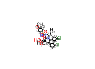 CCC(CNS(=O)(=O)c1ccc(OC)cc1)N1C(=O)[C@@](C)(CC(=O)O)C[C@H](c2cccc(Cl)c2)[C@H]1c1ccc(Cl)cc1